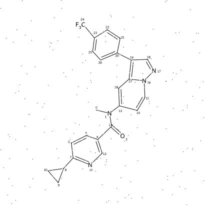 CN(C(=O)c1ccc(C2CC2)nc1)c1ccn2ncc(-c3ccc(C(F)(F)F)cc3)c2c1